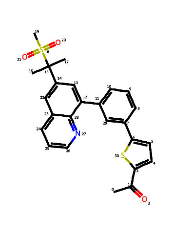 CC(=O)c1ccc(-c2cccc(-c3cc(C(C)(C)S(C)(=O)=O)cc4cccnc34)c2)s1